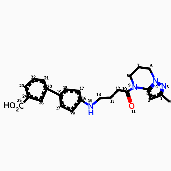 Cc1cc2n(n1)CCCN2C(=O)CCCNc1ccc(-c2cccc(C(=O)O)c2)cc1